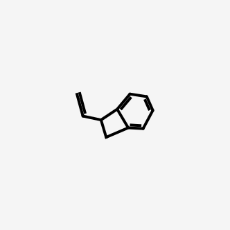 C=CC1Cc2ccccc21